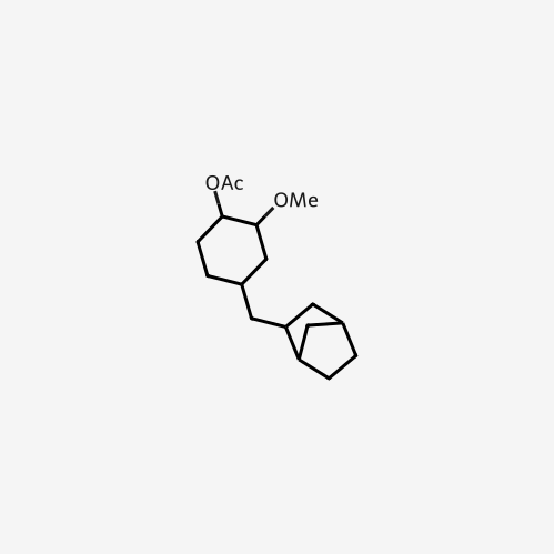 COC1CC(CC2CC3CCC2C3)CCC1OC(C)=O